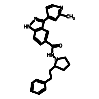 Cc1cc(-c2n[nH]c3ccc(C(=O)NN4CCCC4CCc4ccccc4)cc23)ccn1